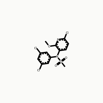 COc1nc(Cl)ccc1N(c1cc(Cl)cc(Cl)c1)S(C)(=O)=O